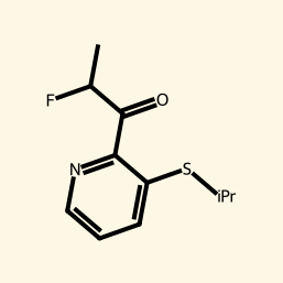 CC(C)Sc1cccnc1C(=O)C(C)F